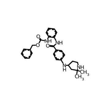 CC1(C)CC(Nc2ccc(C(=O)Nc3ccccc3NC(=O)OCc3ccccc3)cc2)CCN1